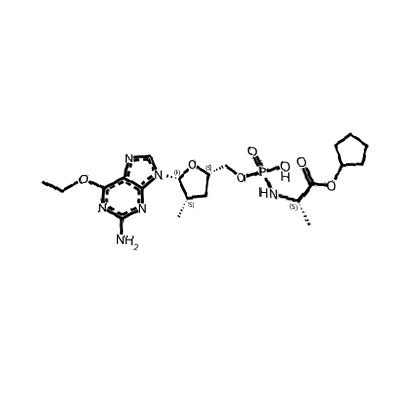 CCOc1nc(N)nc2c1ncn2[C@@H]1O[C@H](COP(=O)(O)N[C@@H](C)C(=O)OC2CCCC2)C[C@@H]1C